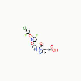 O=C(O)/C=C/c1ccc2nc(CN3CCC(Oc4ccc(F)c(COc5ccc(Cl)cc5F)n4)CC3)n(C[C@@H]3CCO3)c2c1